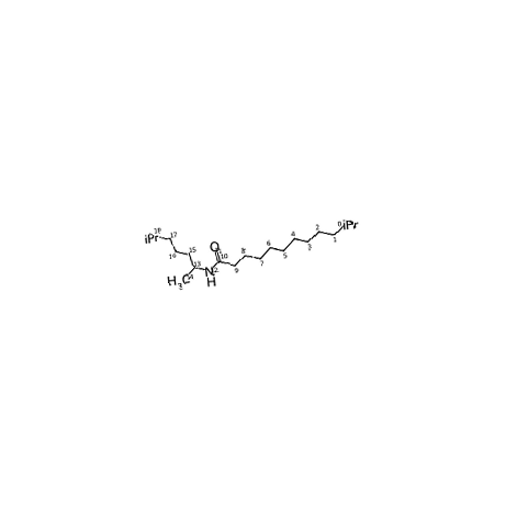 CC(C)CCCCCCCCCC(=O)NC(C)CCCC(C)C